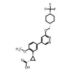 COc1ccc(-c2cnnc(OC[C@H]3CC[C@H](C(F)(F)F)CC3)c2)cc1[C@H]1C[C@@H]1C(=O)O